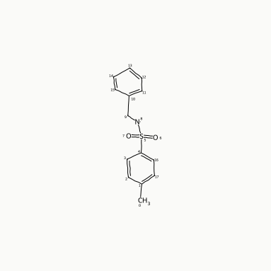 Cc1ccc(S(=O)(=O)[N]Cc2ccccc2)cc1